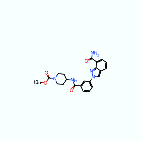 CC(C)(C)OC(=O)N1CCC(NC(=O)c2cccc(-n3cc4cccc(C(N)=O)c4n3)c2)CC1